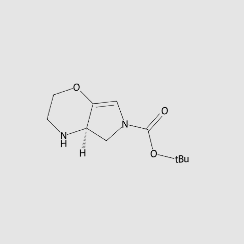 CC(C)(C)OC(=O)N1C=C2OCCN[C@@H]2C1